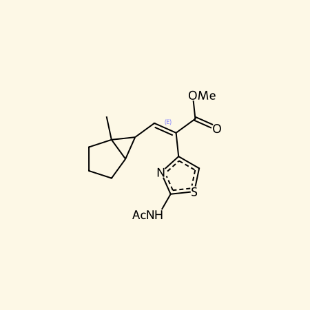 COC(=O)/C(=C/C1C2CCCC12C)c1csc(NC(C)=O)n1